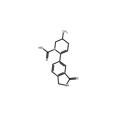 CC1CC=C(c2ccc3c(c2)C(=O)NC3)N(C(=O)O)C1